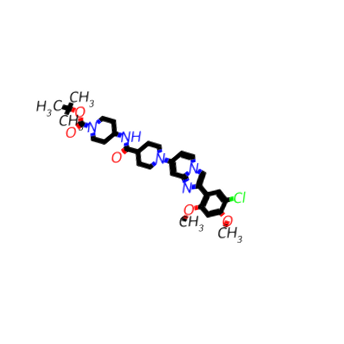 COc1cc(OC)c(-c2cn3ccc(N4CCC(C(=O)NC5CCN(C(=O)OC(C)(C)C)CC5)CC4)cc3n2)cc1Cl